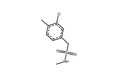 CNS(=O)(=O)Cc1ccc(C)c(Cl)c1